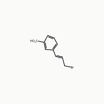 O=C(O)c1cccc(/C=C/CBr)c1